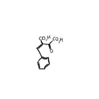 O=C(O)C(=O)/C(=C\c1ccccc1)C(=O)O